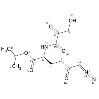 CC(C)OC(=O)[C@H](CCC(=O)C=[N+]=[N-])NC(=O)C(=O)CO